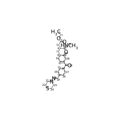 CCOC(=O)CC1Cc2ccc(C(=O)c3ccc(C=NN4CCSCC4)cc3)cc2OC1NC